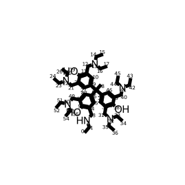 CCNCc1cc(C(C)(c2cc(CN(CC)CC)c(O)c(CN(CC)CC)c2)c2cc(CN(CC)CC)c(O)c(CN(CC)CC)c2)cc(CN(CC)CC)c1O